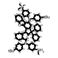 C[SiH2]c1ccc(N(c2ccc(C(C)(C)C)cc2)c2cc3c(c4ccccc24)-c2c(cc(N(c4ccc(C(C)(C)C)cc4)c4ccc([Si](C)(C)C)cc4)c4c2oc2ccccc24)C3(c2ccccc2)c2ccccc2)cc1